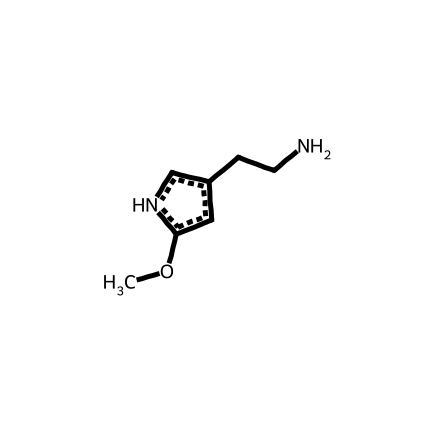 COc1cc(CCN)c[nH]1